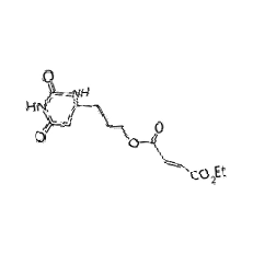 CCOC(=O)/C=C/C(=O)OCCCc1cc(=O)[nH]c(=O)[nH]1